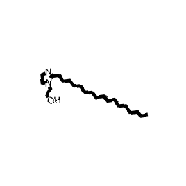 CCCCCCCCCCCCCCCCCC1=NCCN1CCO